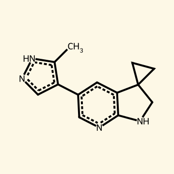 Cc1[nH]ncc1-c1cnc2c(c1)C1(CC1)CN2